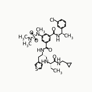 CC[C@H](NC[C@H](Cc1ccsc1)NC(=O)c1cc(C(=O)N[C@H](C)c2cccc(Cl)c2)cc(N(C)S(=O)(=O)N(C)C)c1)C(=O)NCC1CC1